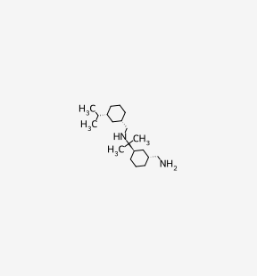 CC(C)[C@@H]1CCC[C@H](CNC(C)(C)[C@@H]2CCC[C@@H](CN)C2)C1